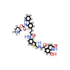 C[N+]1(C)CCC(OC(=O)Nc2cc(CCC(=O)Nc3ccc4sc(CNC[C@@H](O)c5ccc(O)c6[nH]c(=O)ccc56)cc4c3)ccc2-c2ccccc2)CC1